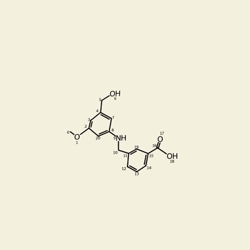 COc1cc(CO)cc(NCc2cccc(C(=O)O)c2)c1